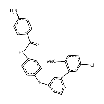 COc1ccc(Cl)cc1-c1cc(Nc2ccc(NC(=O)c3ccc(N)cc3)cc2)ncn1